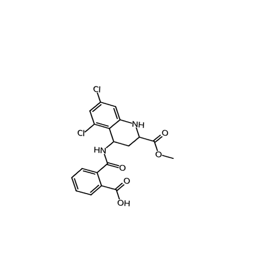 COC(=O)C1CC(NC(=O)c2ccccc2C(=O)O)c2c(Cl)cc(Cl)cc2N1